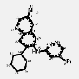 CC(C)c1cnnc(Nc2nc3cc(N)cnc3cc2C2CCCCC2)c1